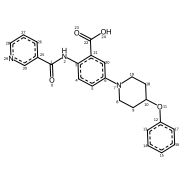 O=C(Nc1ccc(N2CCC(Oc3ccccc3)CC2)cc1C(=O)O)c1cccnc1